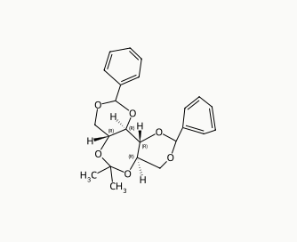 CC1(C)O[C@@H]2COC(c3ccccc3)O[C@H]2[C@@H]2OC(c3ccccc3)OC[C@H]2O1